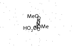 COc1cccc(N2CCN(CCN(C(=O)O)c3ccccc3OC)CC2)c1